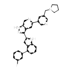 Fc1cccc(-c2cccc3[nH]c(-c4n[nH]c5cnc(-c6cncc(CN7CCCC7)c6)cc45)cc23)c1